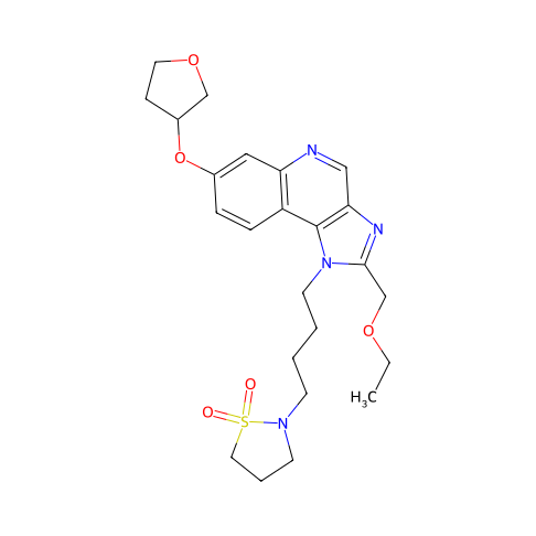 CCOCc1nc2cnc3cc(OC4CCOC4)ccc3c2n1CCCCN1CCCS1(=O)=O